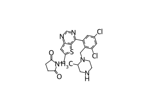 CC1CNCCN1Cc1c(Cl)cc(Cl)cc1-c1ncnc2cc(CN3C(=O)CCC3=O)sc12